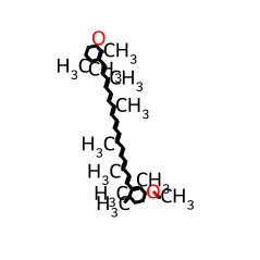 CCOC1CCC(C)(C)C(/C=C/C(C)=C/C=C/C(C)=C/C=C/C=C(C)/C=C/C=C(C)/C=C/C2=C(C)C(=O)CCC2(C)C)=C1C